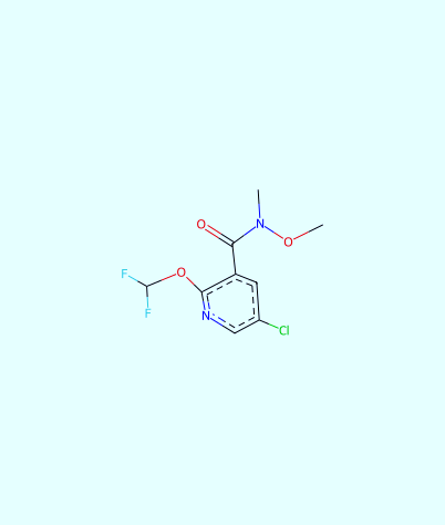 CON(C)C(=O)c1cc(Cl)cnc1OC(F)F